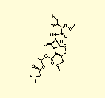 COCC1=C(C(=O)OC(C)OC(=O)OC(C)C)N2C(=O)C(NC(=O)/C(=N\OC)C(=O)CI)[C@@H]2SC1